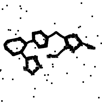 CCCCCn1nc(OC)nc1Cc1ccc(-c2ccccc2-c2nnn[nH]2)cc1